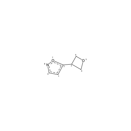 c1cc(C2COC2)on1